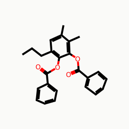 CCCc1cc(C)c(C)c(OC(=O)c2ccccc2)c1OC(=O)c1ccccc1